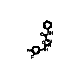 O=C(Nc1c[c]ccc1)c1nnc(Nc2ccc(F)c(F)c2)o1